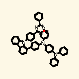 Cc1nc(-c2ccccc2)nc(-c2ccc(-n3c4ccccc4c4cccc(-c5ccc(N(c6ccccc6)c6ccc(N(c7ccccc7)c7ccccc7)cc6)cc5)c43)cc2)n1